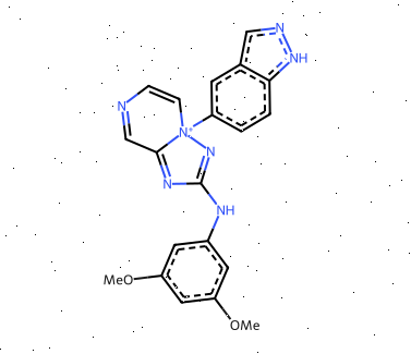 COc1cc(NC2=N[N+]3(c4ccc5[nH]ncc5c4)C=CN=CC3=N2)cc(OC)c1